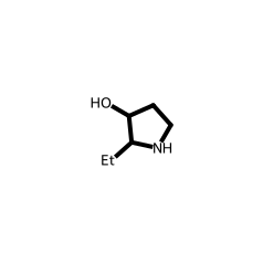 [CH2]CC1NCCC1O